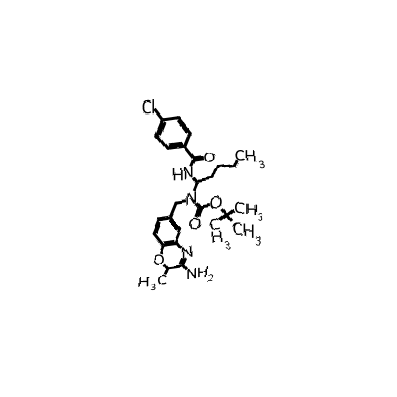 CCCCC(NC(=O)c1ccc(Cl)cc1)N(Cc1ccc2c(c1)N=C(N)C(C)O2)C(=O)OC(C)(C)C